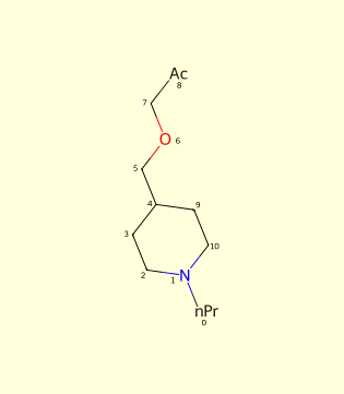 CCCN1CCC(COCC(C)=O)CC1